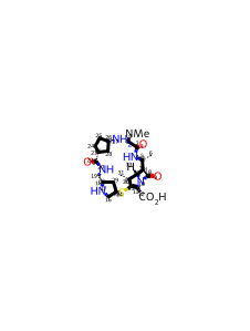 CNCC(=O)N[C@H](C)[C@H]1C(=O)N2C(C(=O)O)=C(S[C@@H]3CN[C@H](CNC(=O)[C@@H]4CC[C@H](N)C4)C3)[C@H](C)[C@H]12